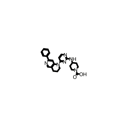 O=C(O)N1CCC(Nc2nccc(N3CCCc4cnc(-c5ccccc5)cc43)n2)CC1